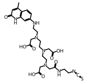 Cc1cc(=O)[nH]c2cc(NCCN(CCN(CCN(CC(=O)O)CC(=O)NCCN=C=S)CC(=O)O)CC(=O)O)ccc12